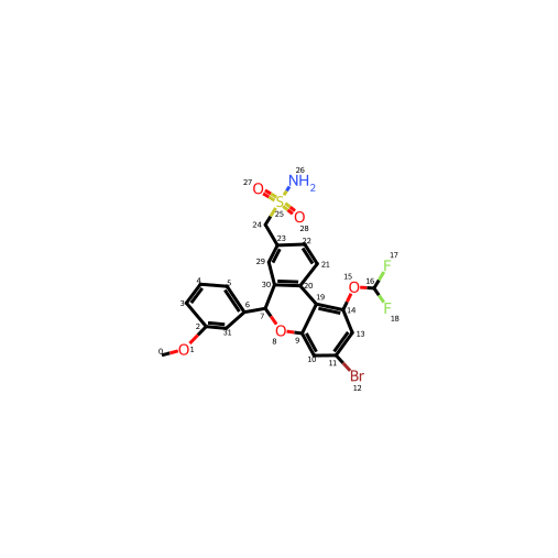 COc1cccc(C2Oc3cc(Br)cc(OC(F)F)c3-c3ccc(CS(N)(=O)=O)cc32)c1